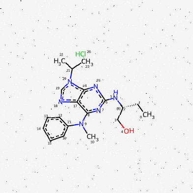 CC[C@H](CO)Nc1nc(N(C)c2ccccc2)c2ncn(C(C)C)c2n1.Cl